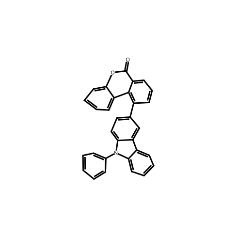 O=c1oc2ccccc2c2c(-c3ccc4c(c3)c3ccccc3n4-c3ccccc3)cccc12